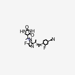 C=C(c1ncc(F)n1/N=C(\C)c1c[nH]c(=O)[nH]c1=O)[C@H]1C[C@@H]1c1ccc(C#N)cc1F